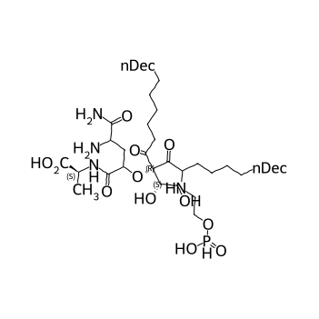 CCCCCCCCCCCCCCCC(=O)[C@@](OC(CC(N)C(N)=O)C(=O)N[C@@H](C)C(=O)O)(C(=O)C(CCCCCCCCCCCCCC)NCCO[PH](=O)O)[C@@H](O)CO